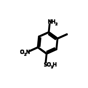 Cc1cc(S(=O)(=O)O)c([N+](=O)[O-])cc1N